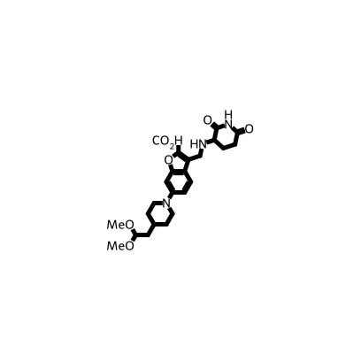 COC(CC1CCN(c2ccc3c(CNC4CCC(=O)NC4=O)c(C(=O)O)oc3c2)CC1)OC